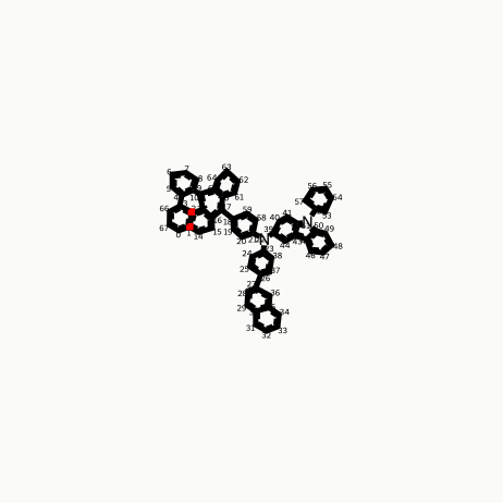 c1ccc(-c2ccccc2-c2c3ccccc3c(-c3ccc(N(c4ccc(-c5ccc6ccccc6c5)cc4)c4ccc5c(c4)c4ccccc4n5-c4ccccc4)cc3)c3ccccc23)cc1